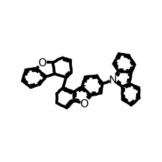 C1=CC2Oc3ccccc3C2C(C2=c3c(oc4cc(-n5c6ccccc6c6ccccc65)ccc34)=CCC2)=C1